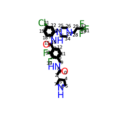 O=C(C[C@@H]1CCNC1)NCc1ccc(C(=O)Nc2ccc(Cl)cc2N2CCN(CCC(F)(F)F)CC2)c(F)c1F